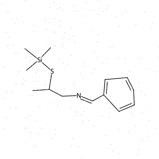 CC(CN=Cc1ccccc1)S[Si](C)(C)C